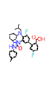 Cc1ccc(NC(=O)Nc2cc(-c3cc(F)ccc3C(=O)O)cc(F)c2N(CC(C)C)C2CCCCC2)cc1